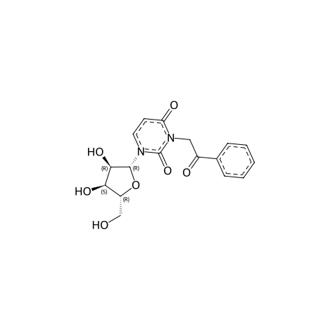 O=C(Cn1c(=O)ccn([C@@H]2O[C@H](CO)[C@@H](O)[C@H]2O)c1=O)c1ccccc1